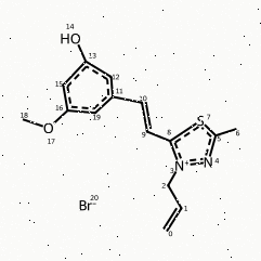 C=CC[n+]1nc(C)sc1/C=C/c1cc(O)cc(OC)c1.[Br-]